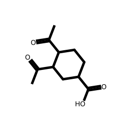 CC(=O)C1CCC(C(=O)O)CC1C(C)=O